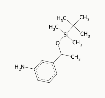 CC(O[Si](C)(C)C(C)(C)C)c1cccc(N)c1